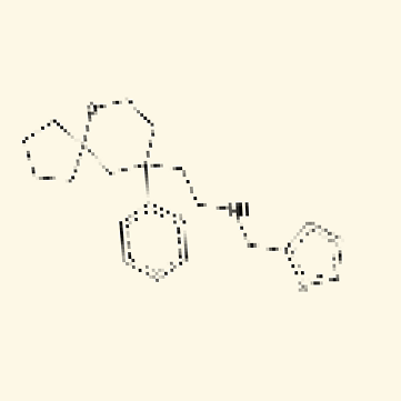 c1ccc(C2(CCNCc3cccs3)CCOC3(CCCC3)C2)nc1